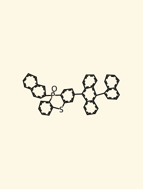 O=P1(c2ccc3ccccc3c2)c2ccccc2Sc2cc(-c3c4ccccc4c(-c4cccc5ccccc45)c4ccccc34)ccc21